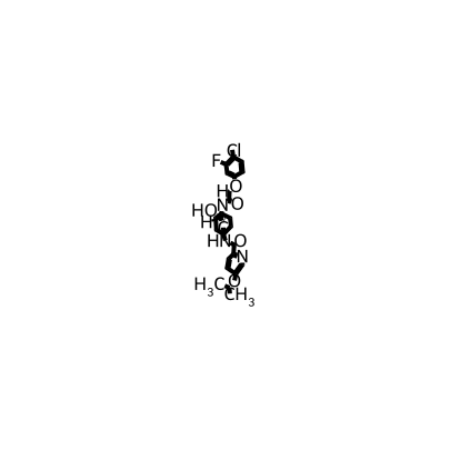 CC(C)Oc1ccc(C(=O)NC23CCC(NC(=O)COc4ccc(Cl)c(F)c4)(CC2)[C@@H](O)C3)nc1